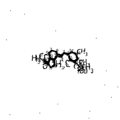 C=C1/C(=C\C=C2/CCC[C@@]3(C)C2CCC32O[C@H]2C)CC(C)CC1O[Si](C)(C)C(C)(C)C